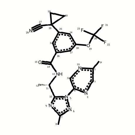 Cc1cnc(-n2nc(C)nc2[C@H](C)NC(=O)c2cc(OC(F)(F)F)cc(C3(C#N)CC3)c2)cn1